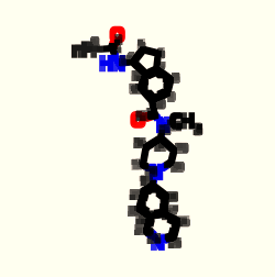 CCCC(=O)NC1CCc2ccc(C(=O)N(C)C3CCN(c4ccc5cnccc5c4)CC3)cc21